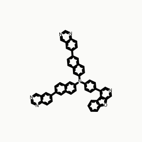 c1ccc2c(c1)oc1cncc(-c3ccc(N(c4ccc5cc(-c6ccc7ncncc7c6)ccc5c4)c4ccc5cc(-c6ccc7ncncc7c6)ccc5c4)cc3)c12